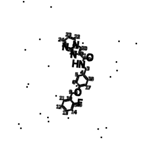 O=C(NCc1ccc(OCc2ccccc2F)cc1)c1cn2cccnc2n1